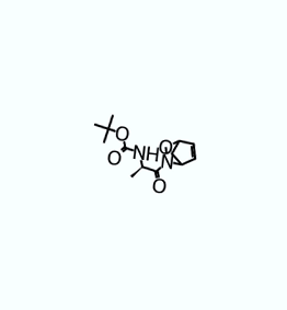 C[C@@H](NC(=O)OC(C)(C)C)C(=O)N1OC2C=CC1C2